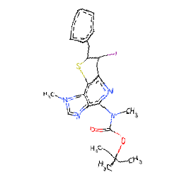 CN(C(=O)OC(C)(C)C)c1nc2c(c3c1ncn3C)SC(c1ccccc1)C2I